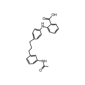 CC(=O)Nc1cccc(CCCc2ccc(Nc3ccccc3C(=O)O)cc2)c1